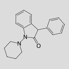 O=C1C(c2ccccc2)c2ccccc2N1N1CCCCC1